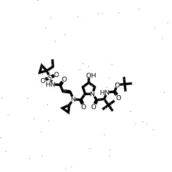 CCC1(S(=O)(=O)NC(=O)C=CN(C(=O)C2CC(O)CN2C(=O)C(NC(=O)OC(C)(C)C)C(C)(C)C)C2CC2)CC1